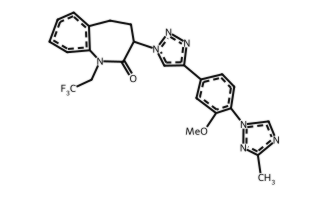 COc1cc(-c2cn(C3CCc4ccccc4N(CC(F)(F)F)C3=O)nn2)ccc1-n1cnc(C)n1